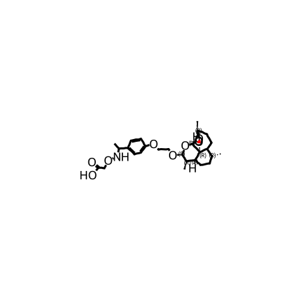 CC(NOCC(=O)O)c1ccc(OCCO[C@H]2O[C@@H]3O[C@@]4(C)CCC5[C@H](C)CC[C@@H]([C@H]2C)[C@]53OO4)cc1